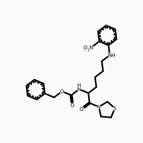 O=C(NC(CCCCNc1ccccc1[N+](=O)[O-])C(=O)N1CCSC1)OCc1ccccc1